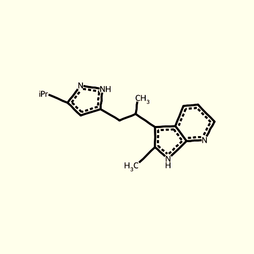 Cc1[nH]c2ncccc2c1C(C)Cc1cc(C(C)C)n[nH]1